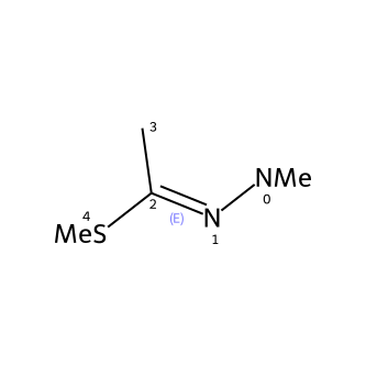 CN/N=C(\C)SC